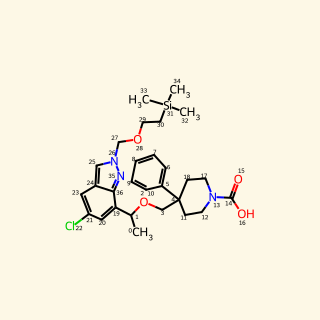 CC(OCC1(c2ccccc2)CCN(C(=O)O)CC1)c1cc(Cl)cc2cn(COCC[Si](C)(C)C)nc12